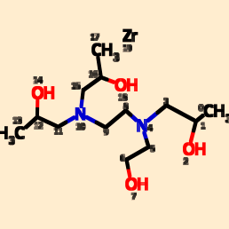 CC(O)CN(CCO)CCN(CC(C)O)CC(C)O.[Zr]